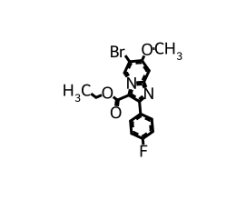 CCOC(=O)c1c(-c2ccc(F)cc2)nc2cc(OC)c(Br)cn12